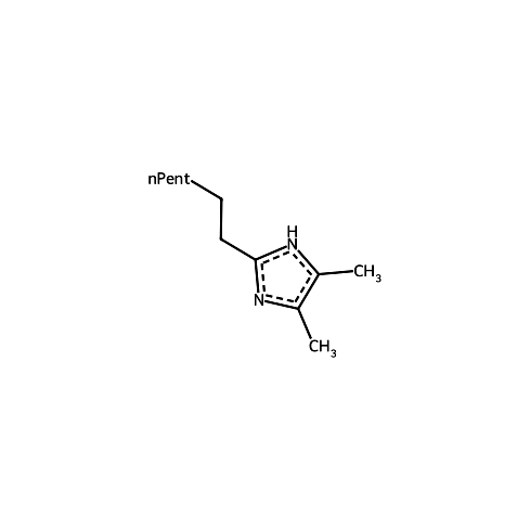 CCCCCCCc1nc(C)c(C)[nH]1